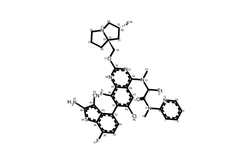 CCC(C(=O)N(C)c1ccccn1)N(C)c1nc(OC[C@@]23CCCN2C[C@H](F)C3)nc2c(F)c(-c3ccc(F)c4sc(N)c(C#N)c34)c(Cl)cc12